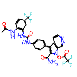 CC(=O)Nc1ccc(C(F)(F)F)cc1NC(=O)Nc1ccc(-c2c(C(N)=O)n(OC(=O)C(F)(F)F)c3cnccc23)cc1